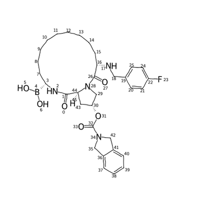 O=C1N[C@H](B(O)O)CCCCCCCCC[C@H](NCc2ccc(F)cc2)C(=O)N2C[C@H](OC(=O)N3Cc4ccccc4C3)C[C@@H]12